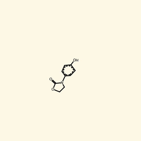 O=C1OCCN1c1ccc(O)cc1